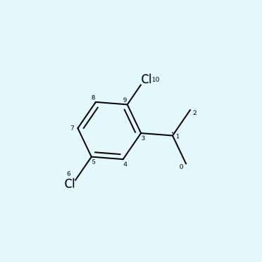 C[C](C)c1cc(Cl)ccc1Cl